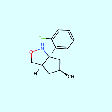 C[C@H]1C[C@H]2CON[C@@]2(c2ccccc2F)C1